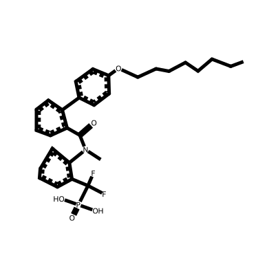 CCCCCCCCOc1ccc(-c2ccccc2C(=O)N(C)c2ccccc2C(F)(F)P(=O)(O)O)cc1